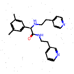 Cc1cc(C)cc(C(NCCc2ccncc2)C(=O)NCCc2cccnc2)c1